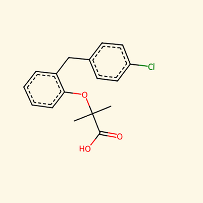 CC(C)(Oc1ccccc1Cc1ccc(Cl)cc1)C(=O)O